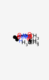 COC(=O)[C@H](Cc1cn(CCCNC(=O)OCC2c3ccccc3-c3ccccc32)cn1)NC(=O)OCC[Si](C)(C)C